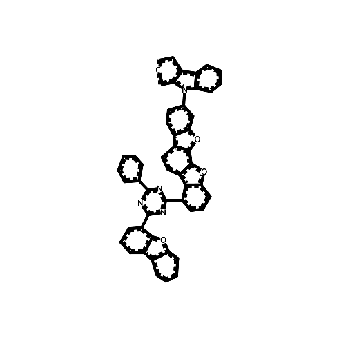 c1ccc(-c2nc(-c3cccc4c3oc3ccccc34)nc(-c3cccc4oc5c(ccc6c7ccc(-n8c9ccccc9c9ccccc98)cc7oc65)c34)n2)cc1